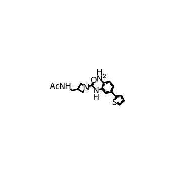 CC(=O)NCC1CN(C(=O)Nc2cc(-c3cccs3)ccc2N)C1